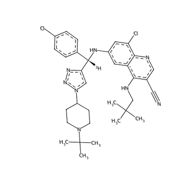 [2H][C@](Nc1cc(Cl)c2ncc(C#N)c(NCC(C)(C)C)c2c1)(c1ccc(Cl)cc1)c1cn(C2CCN(C(C)(C)C)CC2)nn1